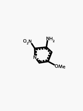 COc1cnc([N+](=O)[O-])c(N)c1